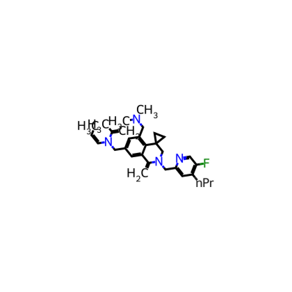 C=C(C)N(/C=C\C)Cc1cc(CN(C)C)c2c(c1)C(=C)N(Cc1cc(CCC)c(F)cn1)CC21CC1